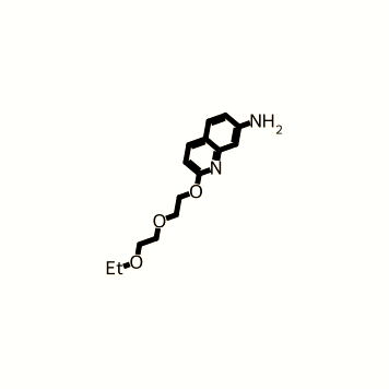 CCOCCOCCOc1ccc2ccc(N)cc2n1